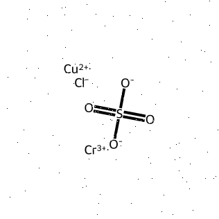 O=S(=O)([O-])[O-].[Cl-].[Cr+3].[Cu+2]